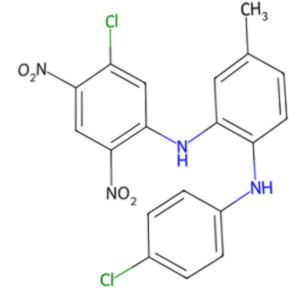 Cc1ccc(Nc2ccc(Cl)cc2)c(Nc2cc(Cl)c([N+](=O)[O-])cc2[N+](=O)[O-])c1